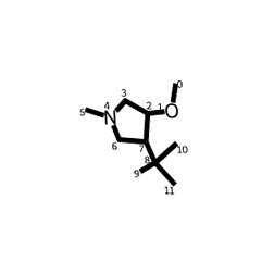 COC1CN(C)CC1C(C)(C)C